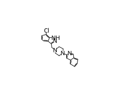 Clc1cccc2c(CN3CCN(c4cc5ccccc5cn4)CC3)n[nH]c12